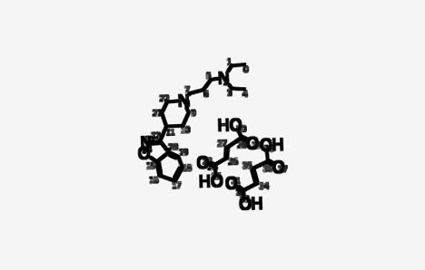 CCN(CC)CCCN1CCC(c2noc3ccccc23)CC1.O=C(O)C=CC(=O)O.O=C(O)C=CC(=O)O